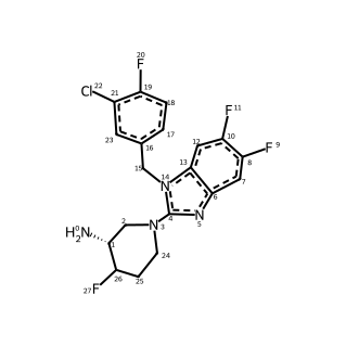 N[C@@H]1CN(c2nc3cc(F)c(F)cc3n2Cc2ccc(F)c(Cl)c2)CCC1F